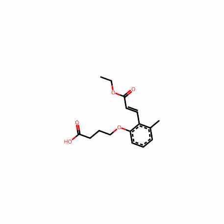 CCOC(=O)/C=C/c1c(C)cccc1OCCCC(=O)O